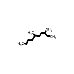 C=C/C(N)=C\C=C(/C)CCCC